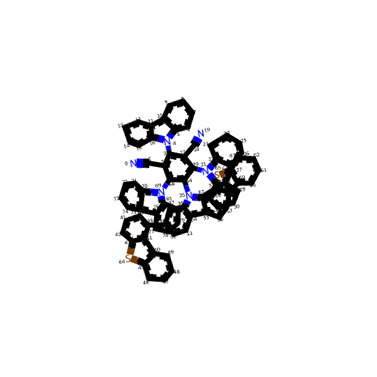 N#Cc1c(-n2c3ccccc3c3ccccc32)c(C#N)c(-n2c3ccccc3c3ccccc32)c(-n2c3cc(-c4cccc5sc6ccccc6c45)ccc3c3ccc4c5ccccc5sc4c32)c1-n1c2ccccc2c2ccccc21